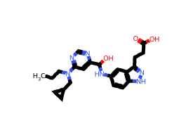 CCCN(CC1CC1)c1cc(C(O)Nc2ccc3[nH]nc(CCC(=O)O)c3c2)ncn1